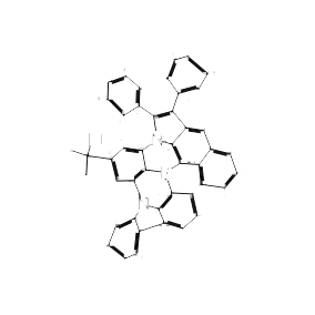 CCC(C)(C)c1cc2c3c(c1)-n1c4ccccc4c4cccc(c41)B3c1c3ccccc3cc3c(-c4ccccc4)c(-c4ccccc4)n-2c13